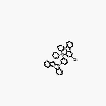 N#Cc1cc([Si](c2ccccc2)(c2ccccc2)c2cccc(-n3c4ccccc4n4c5ccccc5cc34)c2)c2sc3ccccc3c2c1